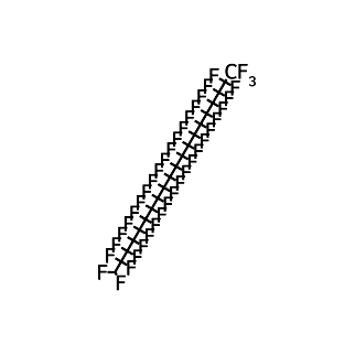 FC(F)C(F)(F)C(F)(F)C(F)(F)C(F)(F)C(F)(F)C(F)(F)C(F)(F)C(F)(F)C(F)(F)C(F)(F)C(F)(F)C(F)(F)C(F)(F)C(F)(F)C(F)(F)C(F)(F)C(F)(F)C(F)(F)C(F)(F)F